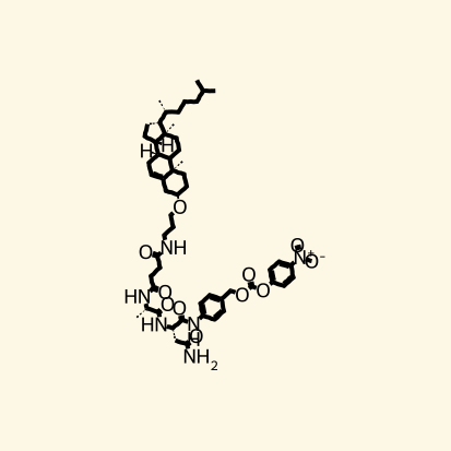 CC(C)CCC[C@@H](C)[C@H]1CC[C@H]2[C@@H]3CC=C4C[C@@H](OCCCNC(=O)CCC(=O)N[C@@H](C)C(=O)N[C@@H](CC(N)=O)C(=O)Nc5ccc(COC(=O)Oc6ccc([N+](=O)[O-])cc6)cc5)CC[C@]4(C)C3CC[C@]12C